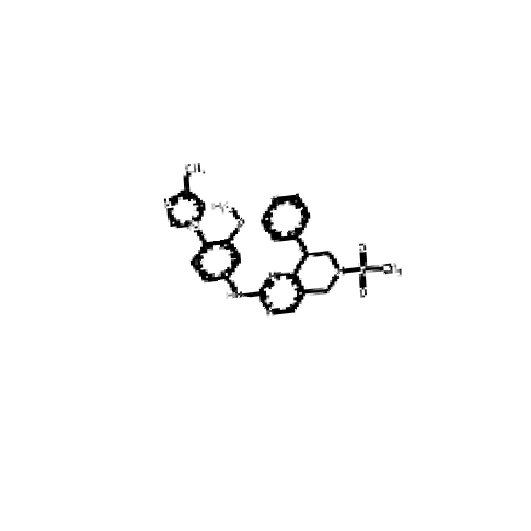 COc1cc(Nc2ncc3c(n2)C(c2ccccc2)CN(S(C)(=O)=O)C3)ccc1-n1cnc(C)c1